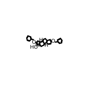 C[C@]12CC[C@@H]3c4ccc(OCc5ccccc5)cc4CC[C@H]3[C@@H]1C[C@H](OCc1ccccc1)[C@H]2O